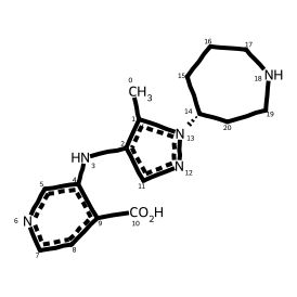 Cc1c(Nc2cnccc2C(=O)O)cnn1[C@@H]1CCCNCC1